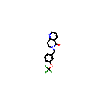 O=C1c2cccnc2CCN1Cc1cccc(OC(F)(F)F)c1